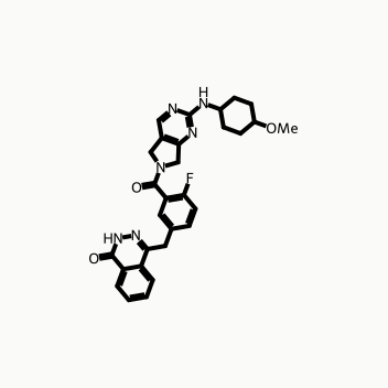 COC1CCC(Nc2ncc3c(n2)CN(C(=O)c2cc(Cc4n[nH]c(=O)c5ccccc45)ccc2F)C3)CC1